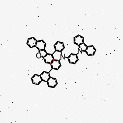 c1cc(N(c2ccc(-c3cc4ccccc4c4ccccc34)cc2)c2ccccc2-c2cccc3oc4c5ccccc5ccc4c23)cc(-n2c3ccccc3c3ccccc32)c1